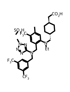 CCN(C[C@H]1CC[C@H](CC(=O)O)CC1)c1cc(C)c(C(F)(F)F)cc1CN(Cc1cc(C(F)(F)F)cc(C(F)(F)F)c1)c1nnn(C)n1.CS(=O)(=O)O